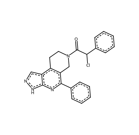 O=C(C(Cl)c1ccccc1)N1CCc2c(c(-c3ccccc3)nc3[nH]ncc23)C1